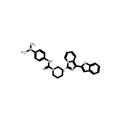 CN(C)c1ccc(NC(=O)N2CCC[C@@H](c3nc(-c4cc5ccccc5s4)c4ccccn34)C2)cc1